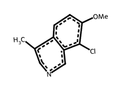 COc1ccc2c(C)cncc2c1Cl